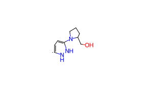 OCC1CCCN1C1=CC=[C]NN1